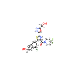 CC(C)(O)c1nnc(-c2nc(C(=O)N3CCC(F)(F)CC3)c(-c3ccc(CC(C)(O)C(F)(F)F)c(Cl)c3)s2)o1